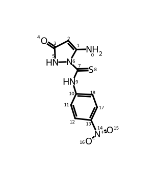 Nc1cc(=O)[nH]n1C(=S)Nc1ccc([N+](=O)[O-])cc1